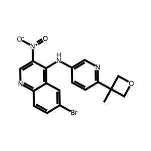 CC1(c2ccc(Nc3c([N+](=O)[O-])cnc4ccc(Br)cc34)cn2)COC1